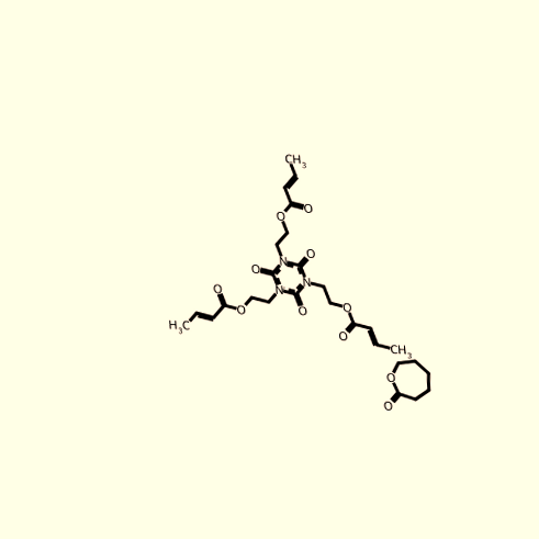 CC=CC(=O)OCCn1c(=O)n(CCOC(=O)C=CC)c(=O)n(CCOC(=O)C=CC)c1=O.O=C1CCCCCO1